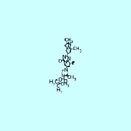 Cc1cc2cc(-c3nc(=O)n4cc(N5CCN(C(=O)OC(C)(C)C)[C@@H](C)C5)cc(F)c4n3)cc(C)n2n1